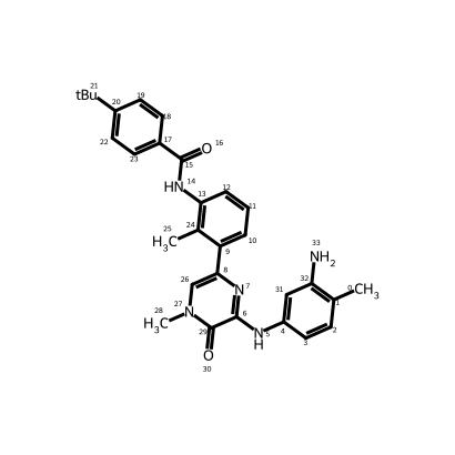 Cc1ccc(Nc2nc(-c3cccc(NC(=O)c4ccc(C(C)(C)C)cc4)c3C)cn(C)c2=O)cc1N